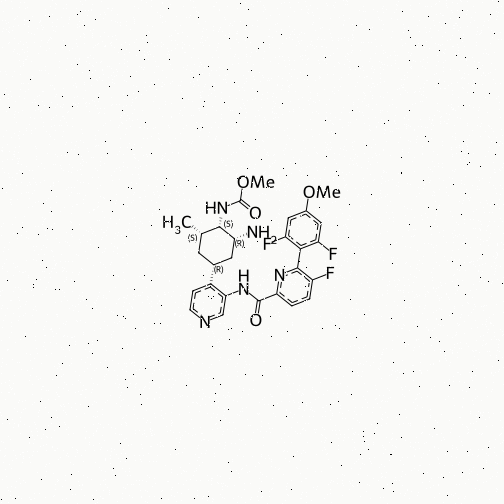 COC(=O)N[C@@H]1[C@H](N)C[C@H](c2ccncc2NC(=O)c2ccc(F)c(-c3c(F)cc(OC)cc3F)n2)C[C@@H]1C